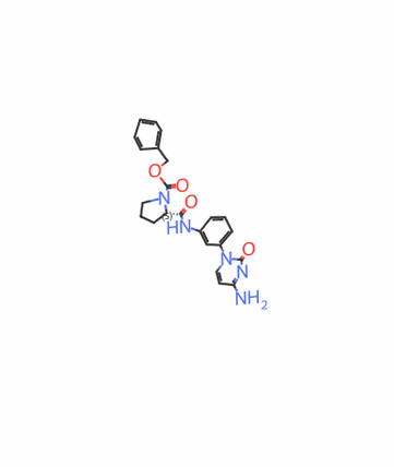 Nc1ccn(-c2cccc(NC(=O)[C@@H]3CCCN3C(=O)OCc3ccccc3)c2)c(=O)n1